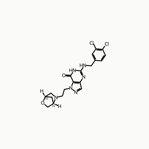 O=c1[nH]c(NCc2ccc(Cl)c(Cl)c2)nc2cnn(CCN3C[C@@H]4C[C@H]3CO4)c12